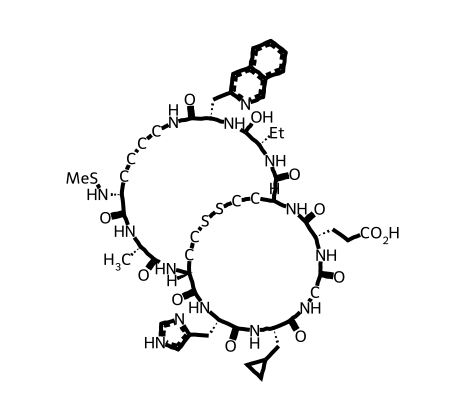 CC[C@@H]1NC(=O)[C@H]2CCSSCC[C@@H](NC(=O)[C@H](C)NC(=O)[C@H](NSC)CCCCNC(=O)[C@H](Cc3cc4ccccc4cn3)NC1O)C(=O)N[C@@H](Cc1c[nH]cn1)C(=O)N[C@@H](CC1CC1)C(=O)NCC(=O)N[C@@H](CCC(=O)O)C(=O)N2